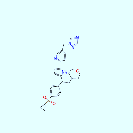 O=S(=O)(c1ccc(C(CC2CCOCC2)c2ccc(-c3ccc(Cn4cncn4)cn3)[nH]2)cc1)C1CC1